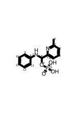 Cc1cccc(C(Nc2ccccc2)OP(=O)(O)O)n1